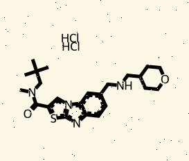 CN(CC(C)(C)C)C(=O)c1cn2c(nc3ccc(CNCC4CCOCC4)cc32)s1.Cl.Cl